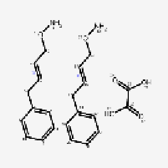 NOC/C=C/Cc1ccccc1.NOC/C=C/Cc1ccccc1.O=C(O)C(=O)O